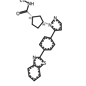 CCNC(=O)[C@H]1CC[C@@H](n2nccc2-c2ccc(-c3nc4ccccc4s3)cc2)C1